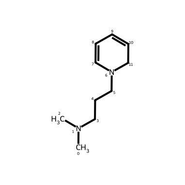 CN(C)CCCN1C=CC=CC1